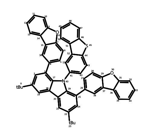 CC(C)(C)c1cc(-c2ccc3oc4ccccc4c3c2)c2c(c1)c1cc(C(C)(C)C)cc(-c3ccc4oc5ccccc5c4c3)c1n2-c1ccc2sc3ccccc3c2c1